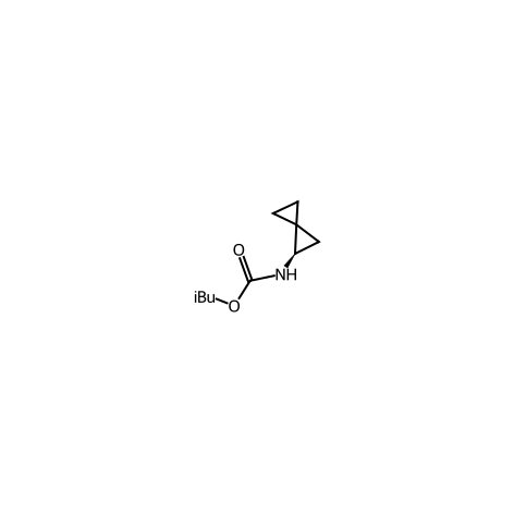 CCC(C)OC(=O)N[C@@H]1CC12CC2